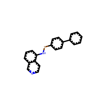 c1ccc(-c2ccc(SNc3cccc4cnccc34)cc2)cc1